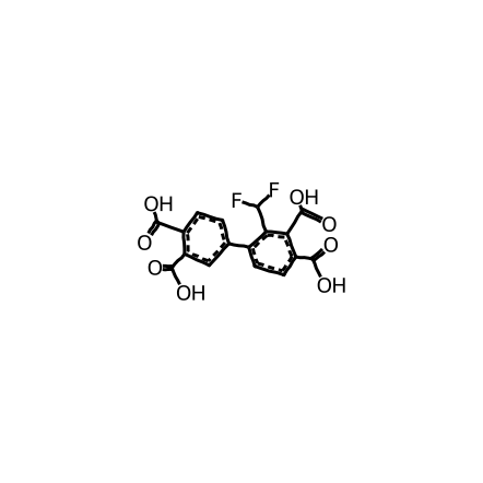 O=C(O)c1ccc(-c2ccc(C(=O)O)c(C(=O)O)c2C(F)F)cc1C(=O)O